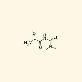 CCC(NC(=O)C(N)=O)N(C)C